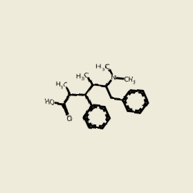 CC(C(=O)O)C(c1ccccc1)C(C)C(Cc1ccccc1)N(C)C